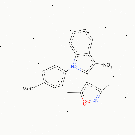 COc1ccc(-n2c(-c3c(C)noc3C)c([N+](=O)[O-])c3ccccc32)cc1